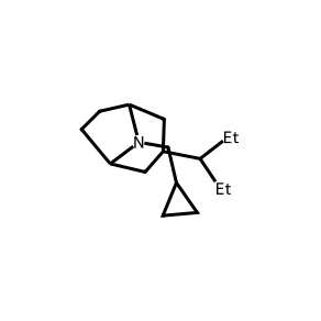 CCC(CC)C1CC2CCC(C1)N2CC1CC1